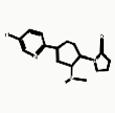 CN(C)C1CC(c2ccc(Cl)cn2)C[CH]C1N1CCCC1=O